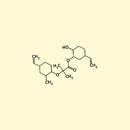 C=CC1CCC(OC(C)(C)C(=O)OC2CC(C=C)CCC2O)C(C)C1